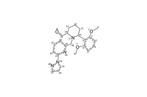 COc1cccc(OC)c1C1CCCC(C=O)N1Cc1cccc(-n2cccn2)n1